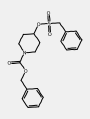 O=C(OCc1ccccc1)N1CCC(OS(=O)(=O)Cc2ccccc2)CC1